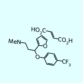 CNCCC(Oc1ccc(C(F)(F)F)cc1)c1ccco1.O=C(O)C=CC(=O)O